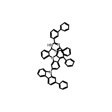 c1ccc(C2=NC(c3ccccc3-n3c4cc(-n5c6ccccc6c6ccc(-c7ccccc7)cc65)ccc4c4c(-c5ccccc5)cccc43)NC(c3cccc(-c4ccccc4)c3)=N2)cc1